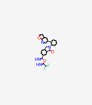 N=C(OC(=N)C(F)F)c1ccc2c(c1)C(=O)N(c1ccccc1-c1cnc3occc3c1)C2